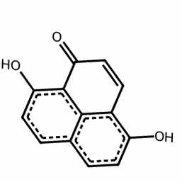 O=C1C=Cc2c(O)ccc3ccc(O)c1c23